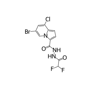 O=C(NNC(=O)C(F)F)c1ccc2c(Cl)cc(Br)cn12